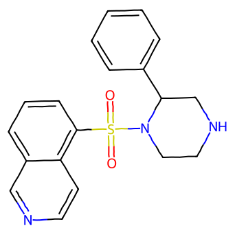 O=S(=O)(c1cccc2cnccc12)N1CCNCC1c1ccccc1